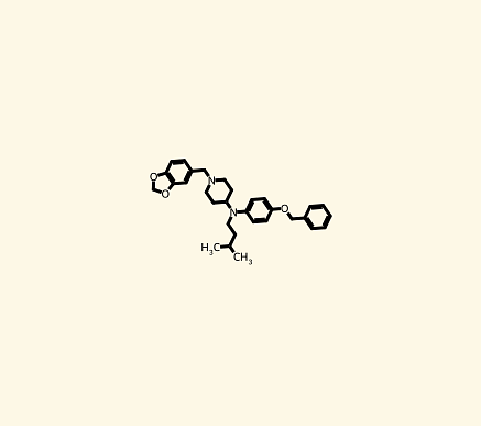 CC(C)CCN(c1ccc(OCc2ccccc2)cc1)C1CCN(Cc2ccc3c(c2)OCO3)CC1